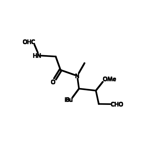 CCC(C)C(C(CC=O)OC)N(C)C(=O)CNC=O